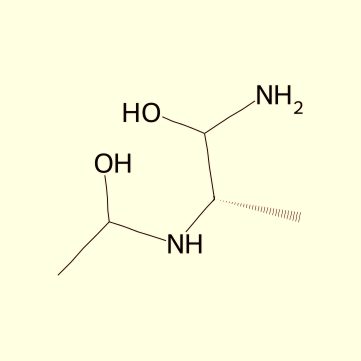 CC(O)N[C@@H](C)C(N)O